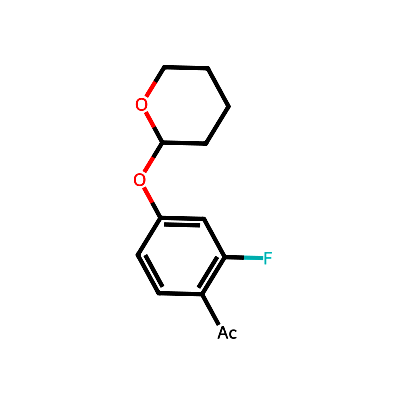 CC(=O)c1ccc(OC2CCCCO2)cc1F